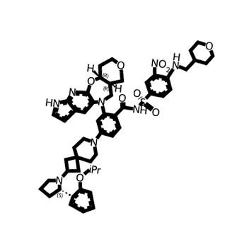 CC(C)Oc1ccccc1[C@@H]1CCCN1C1CC2(CCN(c3ccc(C(=O)NS(=O)(=O)c4ccc(NCC5CCOCC5)c([N+](=O)[O-])c4)c(N4C[C@@H]5COCC[C@H]5Oc5nc6[nH]ccc6cc54)c3)CC2)C1